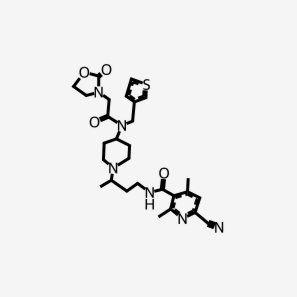 Cc1cc(C#N)nc(C)c1C(=O)NCCC(C)N1CCC(N(Cc2ccsc2)C(=O)CN2CCOC2=O)CC1